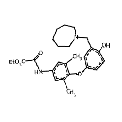 CCOC(=O)C(=O)Nc1cc(C)c(Oc2ccc(O)c(CN3CCCCCC3)c2)c(C)c1